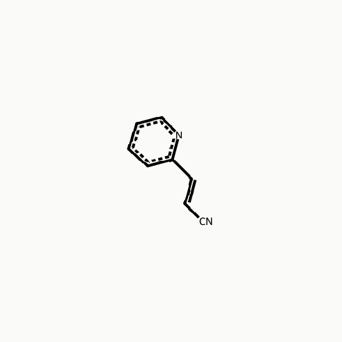 N#CC=Cc1ccccn1